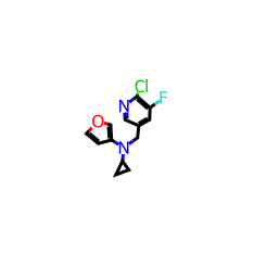 Fc1cc(CN(c2ccoc2)C2CC2)cnc1Cl